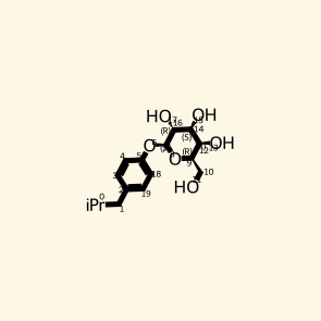 CC(C)Cc1ccc(O[C@@H]2O[C@H](CO)[C@H](O)[C@H](O)[C@H]2O)cc1